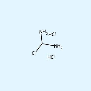 Cl.Cl.NC(N)Cl